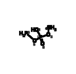 O=P(O)(O[SiH3])OP